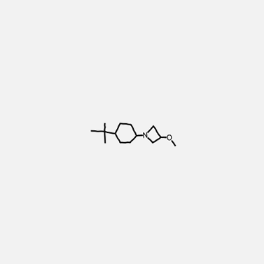 COC1CN(C2CCC(C(C)(C)C)CC2)C1